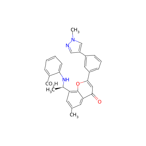 Cc1cc([C@@H](C)Nc2ccccc2C(=O)O)c2oc(-c3cccc(-c4cnn(C)c4)c3)cc(=O)c2c1